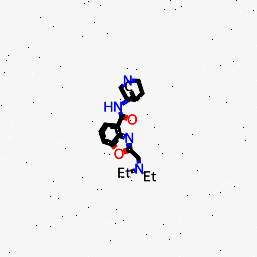 CCN(CC)Cc1nc2c(C(=O)NC3CN4CCC3CC4)cccc2o1